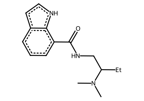 CCC(CNC(=O)c1cccc2cc[nH]c12)N(C)C